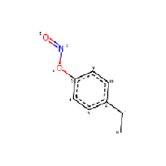 CCc1ccc(ON=O)cc1